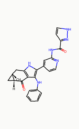 C[C@@]12Cc3[nH]c(-c4ccnc(NC(=O)c5cc[nH]n5)c4)c(Nc4ccccc4)c3C(=O)[C@@H]1C2